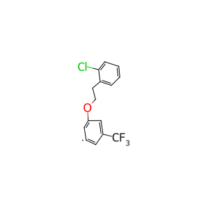 FC(F)(F)c1c[c]cc(OCCc2ccccc2Cl)c1